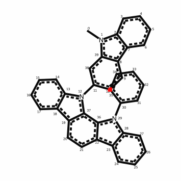 Cn1c2ccccc2c2ccc(-n3c4ccccc4c4ccc5c6ccccc6n(-c6ccccc6)c5c43)cc21